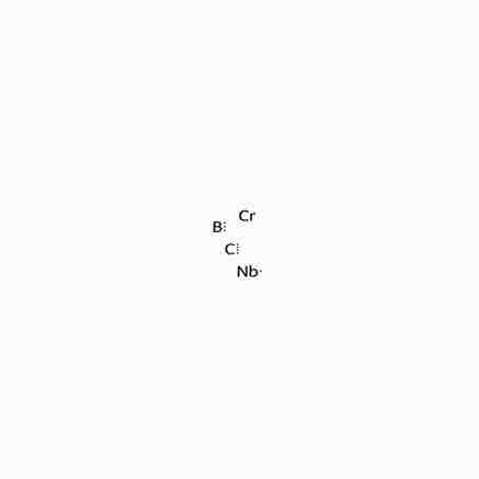 [B].[C].[Cr].[Nb]